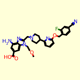 COCCn1c(CN2CCC(c3cccc(OCc4ccc(C#N)cc4F)n3)CC2)nc2c(N)cc(C(=O)O)cc21